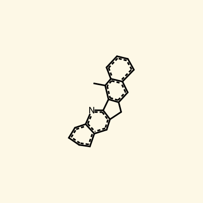 Cc1c2c(cc3ccccc13)Cc1cc3ccccc3nc1-2